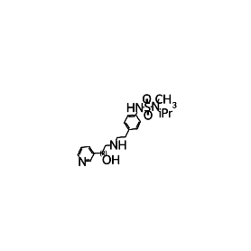 CC(C)N(C)S(=O)(=O)Nc1ccc(CCNC[C@H](O)c2cccnc2)cc1